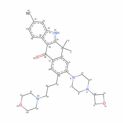 CC1(C)c2cc(N3CCN(C4COC4)CC3)c(CCCN3CCOCC3)cc2C(=O)c2c1[nH]c1cc(C#N)ccc21